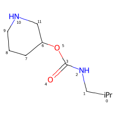 CC(C)CNC(=O)OC1CCCNC1